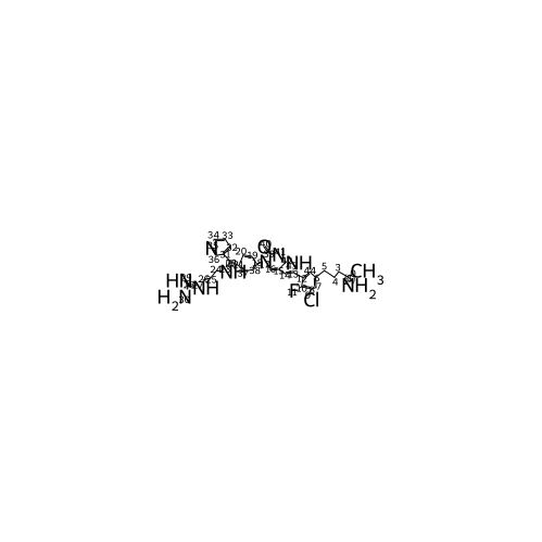 C[C@H](N)CCCc1cc(Cl)c(F)c(-c2cc3cn(-c4ccc([C@@H](NCCCNC(=N)N)c5cccnc5)cc4)c(=O)nc3[nH]2)c1